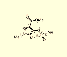 COC(=O)c1sc(OC)cc1OP(=O)(OC)OC